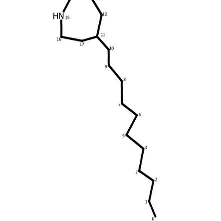 CCCCCCCCCCCC1CCCNCC1